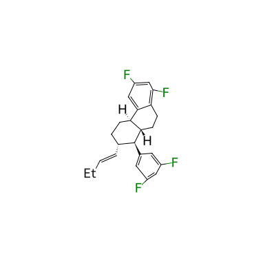 CC/C=C/[C@@H]1CC[C@H]2c3cc(F)cc(F)c3CC[C@@H]2[C@H]1c1cc(F)cc(F)c1